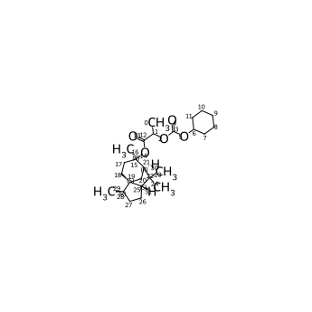 CC(OC(=O)OC1CCCCC1)C(=O)O[C@]1(C)CC[C@@]23C[C@@H]1C(C)(C)[C@@H]2CC[C@H]3C